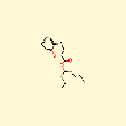 CCCCC(CCC)OC(=O)C1CCc2ccccc2O1